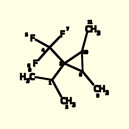 CC(C)C1(C(F)(F)F)C(C)C1C